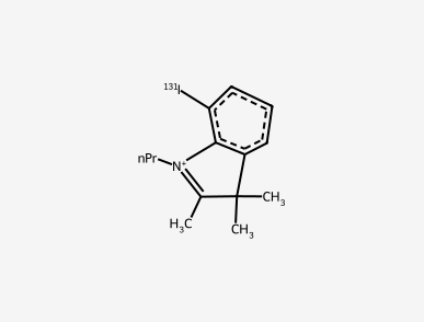 CCC[N+]1=C(C)C(C)(C)c2cccc([131I])c21